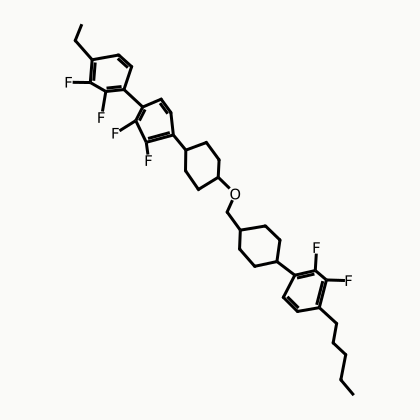 CCCCCc1ccc(C2CCC(COC3CCC(c4ccc(-c5ccc(CC)c(F)c5F)c(F)c4F)CC3)CC2)c(F)c1F